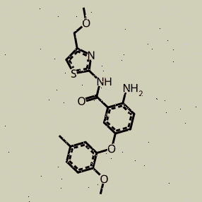 COCc1csc(NC(=O)c2cc(Oc3cc(C)ccc3OC)ccc2N)n1